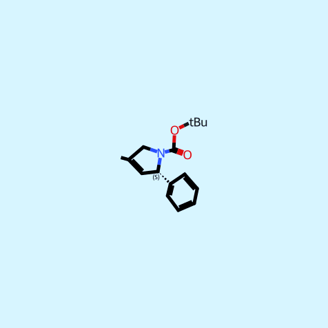 CC1=C[C@@H](c2ccccc2)N(C(=O)OC(C)(C)C)C1